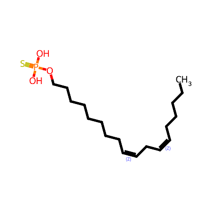 CCCCC/C=C\C/C=C\CCCCCCCCOP(O)(O)=S